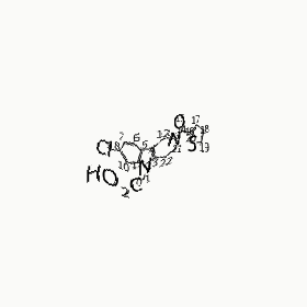 O=C(O)Cn1c2c(c3ccc(Cl)cc31)CN(C(=O)c1cccs1)CC2